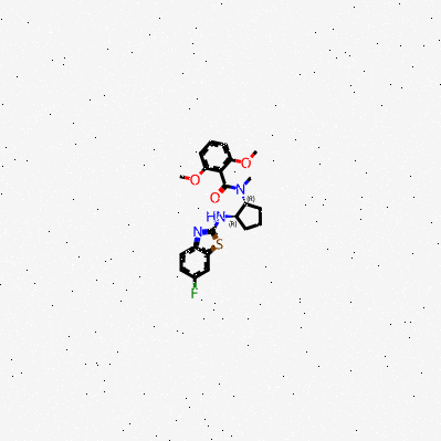 COc1cccc(OC)c1C(=O)N(C)[C@@H]1CCC[C@H]1Nc1nc2ccc(F)cc2s1